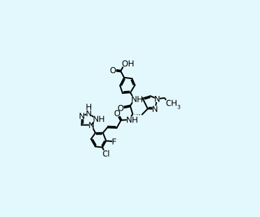 CCn1ccc(C[C@H](NC(=O)/C=C/c2c(N3C=NNN3)ccc(Cl)c2F)C(=O)Nc2ccc(C(=O)O)cc2)n1